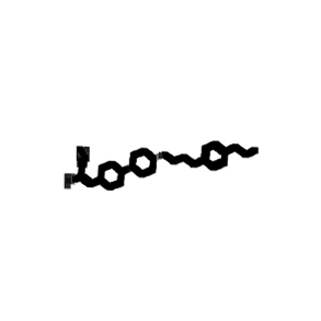 CCCc1ccc(CCCC[C@H]2CC[C@H](C3CCC(/C=C(/F)C#N)CC3)CC2)cc1